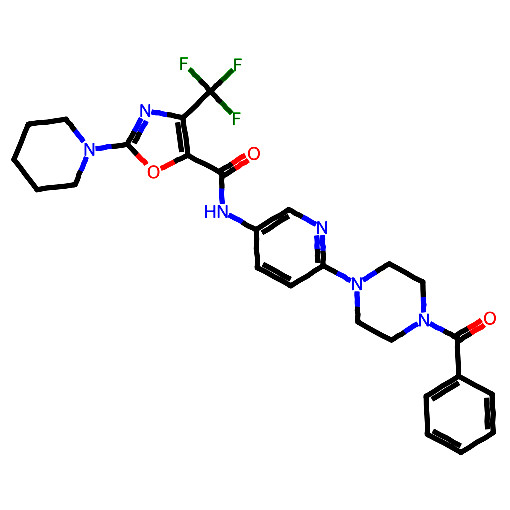 O=C(Nc1ccc(N2CCN(C(=O)c3ccccc3)CC2)nc1)c1oc(N2CCCCC2)nc1C(F)(F)F